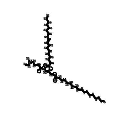 CCCCCCCCC=CCCCCCCCC(=O)OCC(COC(=O)CCCN(C)CC)OC(=O)CCCCCCCC=CCCCCCCCC